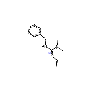 C=C/C=C(/NCc1ccccc1)N(C)C